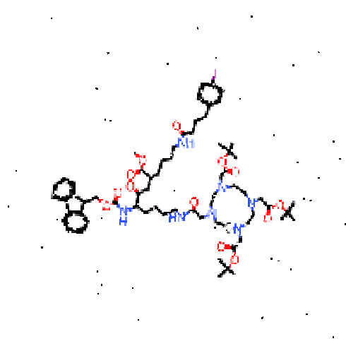 COC(=O)C(CCCCNC(=O)CCCc1ccc(I)cc1)CC(=O)C(CCCCNC(=O)CN1CCN(CC(=O)OC(C)(C)C)CCN(CC(=O)OC(C)(C)C)CCN(CC(=O)OC(C)(C)C)CC1)NC(=O)OCC1c2ccccc2-c2ccccc21